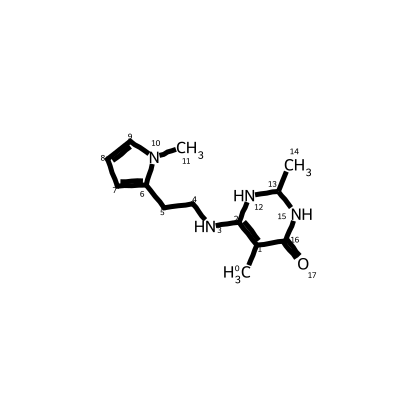 CC1=C(NCCc2cccn2C)NC(C)NC1=O